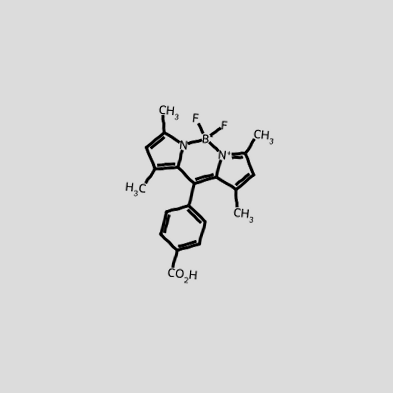 CC1=CC(C)=[N+]2C1=C(c1ccc(C(=O)O)cc1)c1c(C)cc(C)n1[B-]2(F)F